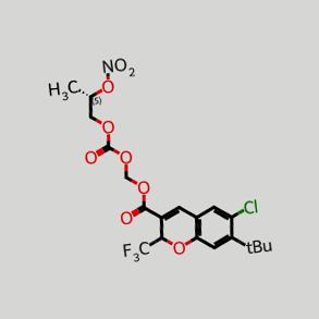 C[C@@H](COC(=O)OCOC(=O)C1=Cc2cc(Cl)c(C(C)(C)C)cc2OC1C(F)(F)F)O[N+](=O)[O-]